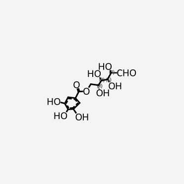 O=C[C@H](O)[C@@H](O)[C@H](O)[C@H](O)COC(=O)c1cc(O)c(O)c(O)c1